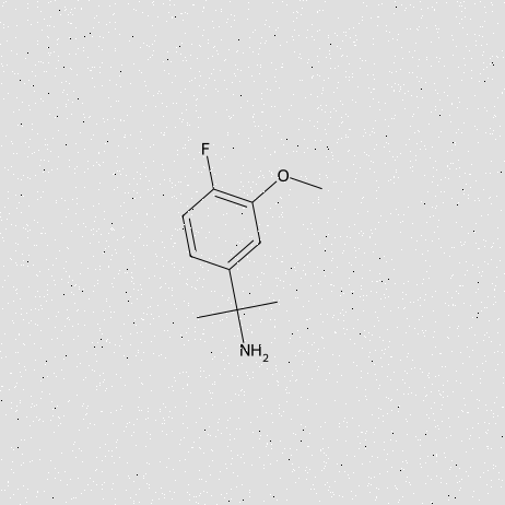 COc1cc(C(C)(C)N)ccc1F